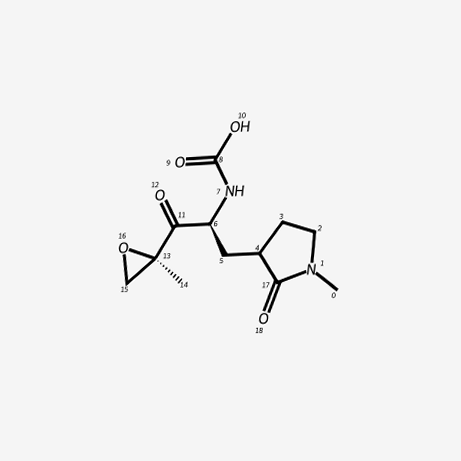 CN1CCC(C[C@H](NC(=O)O)C(=O)[C@@]2(C)CO2)C1=O